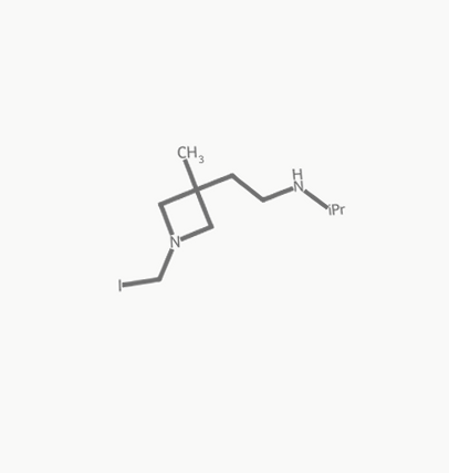 CC(C)NCCC1(C)CN(CI)C1